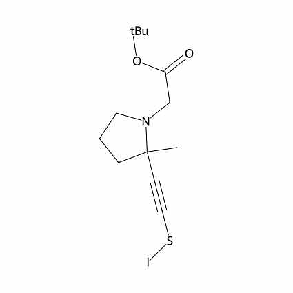 CC(C)(C)OC(=O)CN1CCCC1(C)C#CSI